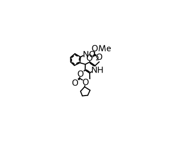 COC(=O)OC1=C(C)NC(C)=C(OC(=O)OC2CCCC2)C1c1ccccc1[N+](=O)[O-]